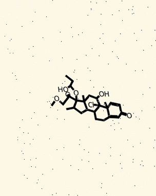 CCC(O)OC1(C(=O)COC)C(C)CC2C3CCC4=CC(=O)C=CC4(C)C3(Cl)C(O)CC21C